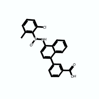 Cc1cccc(Cl)c1[S+]([O-])Nc1ccc(-c2cccc(C(=O)O)c2)c2ccccc12